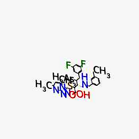 CCc1cccc(CNC[C@@H](C([AsH2])Cc2cc(F)cc(F)c2)[C@H](Sc2nnc3nc(C)cc(C)n23)C(=O)O)c1